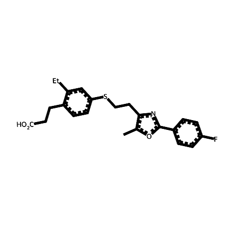 CCc1cc(SCCc2nc(-c3ccc(F)cc3)oc2C)ccc1CCC(=O)O